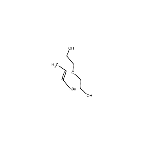 CC=CCCCC.OCCOCCO